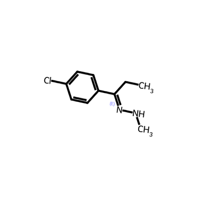 CC/C(=N\NC)c1ccc(Cl)cc1